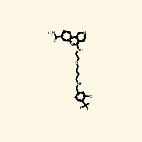 NC(=O)c1ccc2c(c1)nc(NCCOCCCCNCc1ccc(C(F)(F)F)c(Cl)c1)c1ccncc12